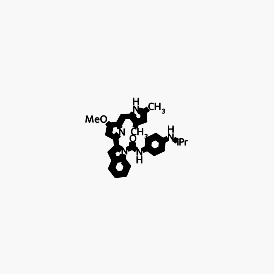 COC1=CC(c2cc3ccccc3n2C(=O)Nc2ccc(NC(C)C)cc2)=N/C1=C\c1[nH]c(C)cc1C